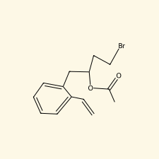 C=Cc1ccccc1CC(CCBr)OC(C)=O